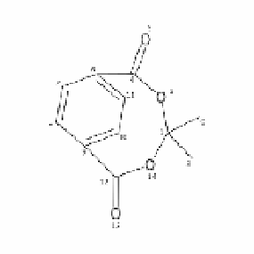 CC1(C)OC(=O)c2ccc(cc2)C(=O)O1